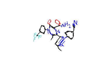 Cc1cc(-c2nc(C(N)=O)c(=O)n(-c3cccc(C(F)(F)F)c3)c2C)n(-c2ccc(C#N)cc2)n1